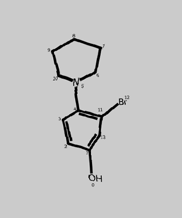 Oc1ccc(N2CCCCC2)c(Br)c1